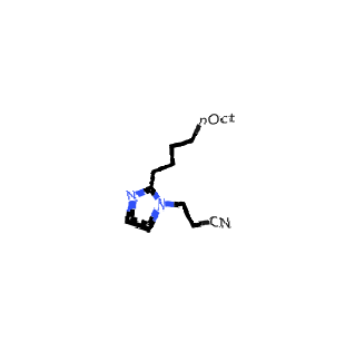 CCCCCCCCCCCCc1nccn1CCC#N